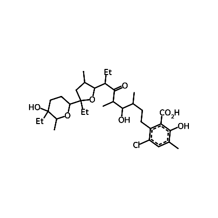 CCC(C(=O)C(C)C(O)C(C)CCc1c(Cl)cc(C)c(O)c1C(=O)O)C1OC(CC)(C2CCC(O)(CC)C(C)O2)CC1C